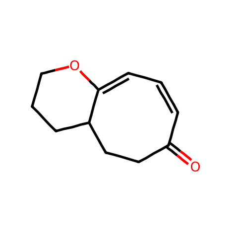 O=C1C=CC=C2OCCCC2CC1